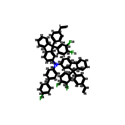 C=Cc1ccc(C2(c3ccc(F)c(F)c3)c3ccccc3-c3ccc(N(c4ccc(-c5ccc(F)cc5)cc4)c4ccc5c(c4)C(c4ccc(C=C)cc4)(c4ccc(F)c(F)c4)c4ccccc4-5)cc32)cc1